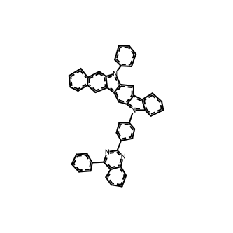 c1ccc(-c2nc(-c3ccc(-n4c5ccccc5c5cc6c(cc54)c4cc5ccccc5cc4n6-c4ccccc4)cc3)nc3ccccc23)cc1